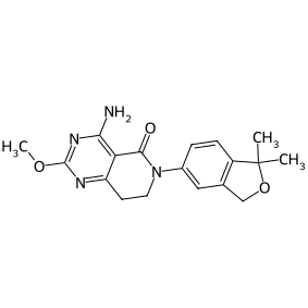 COc1nc(N)c2c(n1)CCN(c1ccc3c(c1)COC3(C)C)C2=O